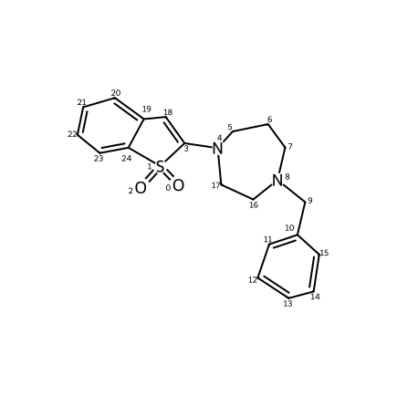 O=S1(=O)C(N2CCCN(Cc3ccccc3)CC2)=Cc2ccccc21